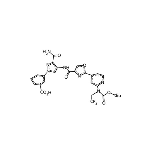 CC(C)(C)OC(=O)N(CC(F)(F)F)c1cc(-c2nc(C(=O)Nc3cn(-c4cccc(C(=O)O)c4)nc3C(N)=O)co2)ccn1